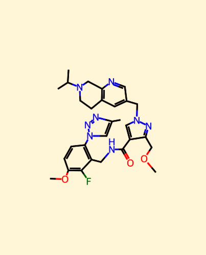 COCc1nn(Cc2cnc3c(c2)CCN(C(C)C)C3)cc1C(=O)NCc1c(-n2cc(C)nn2)ccc(OC)c1F